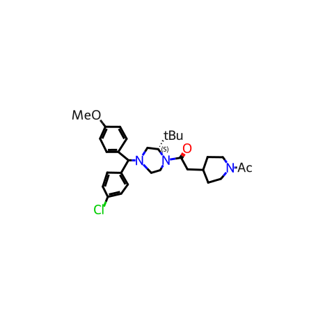 COc1ccc(C(c2ccc(Cl)cc2)N2CCN(C(=O)CC3CCN(C(C)=O)CC3)[C@@H](C(C)(C)C)C2)cc1